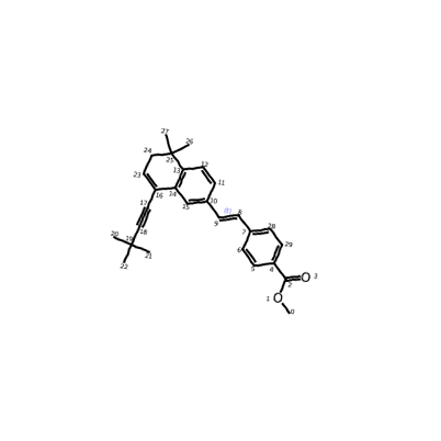 COC(=O)c1ccc(/C=C/c2ccc3c(c2)C(C#CC(C)(C)C)=CCC3(C)C)cc1